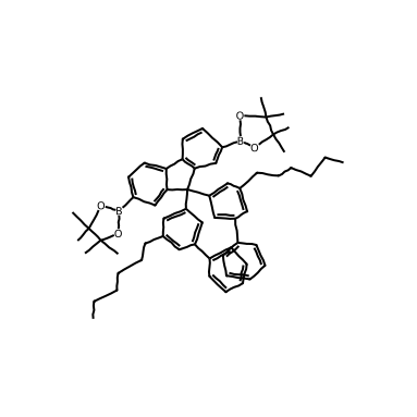 CCCCCCc1cc(-c2ccccc2)cc(C2(c3cc(CCCCCC)cc(-c4ccccc4)c3)c3cc(B4OC(C)(C)C(C)(C)O4)ccc3-c3ccc(B4OC(C)(C)C(C)(C)O4)cc32)c1